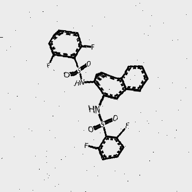 O=S(=O)(Nc1cc2ccccc2cc1NS(=O)(=O)c1c(F)cccc1F)c1c(F)cccc1F